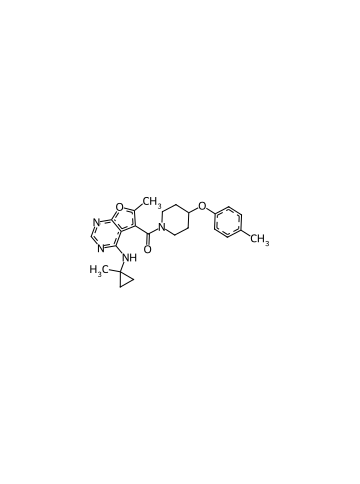 Cc1ccc(OC2CCN(C(=O)c3c(C)oc4ncnc(NC5(C)CC5)c34)CC2)cc1